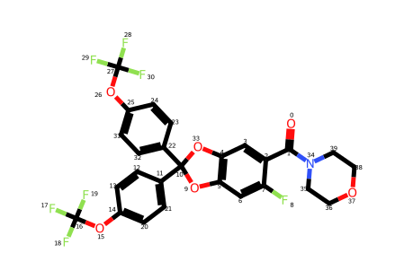 O=C(c1cc2c(cc1F)OC(c1ccc(OC(F)(F)F)cc1)(c1ccc(OC(F)(F)F)cc1)O2)N1CCOCC1